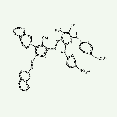 Cc1c(C#N)c(Nc2ccc(S(=O)(=O)O)cc2)nc(Nc2ccc(S(=O)(=O)O)cc2)c1/N=N/c1sc(/N=N/c2ccc3ccccc3c2)c(-c2ccc3ccccc3c2)c1C#N